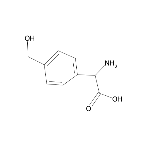 NC(C(=O)O)c1ccc(CO)cc1